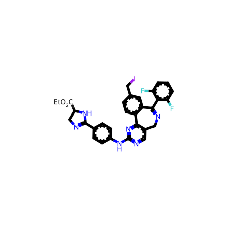 CCOC(=O)C1CN=C(c2ccc(Nc3ncc4c(n3)-c3ccc(CI)cc3C(c3c(F)cccc3F)=NC4)cc2)N1